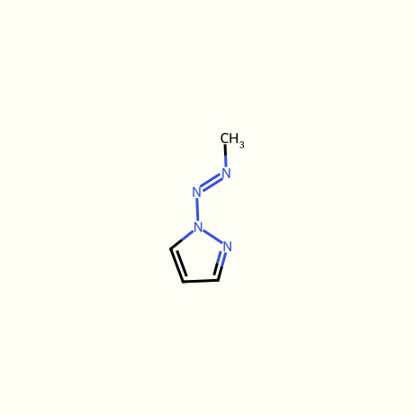 CN=Nn1cccn1